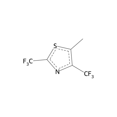 Cc1sc(C(F)(F)F)nc1C(F)(F)F